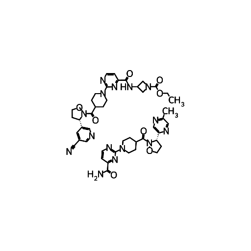 CCOC(=O)N1CC(NC(=O)c2ccnc(N3CCC(C(=O)N4OCC[C@H]4c4cncc(C#N)c4)CC3)n2)C1.Cc1cnc([C@@H]2CCON2C(=O)C2CCN(c3nccc(C(N)=O)n3)CC2)cn1